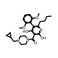 CCCCc1nc(O)c(C(=O)N2CCN(CC3CC3)CC2)c(O)c1-c1c(OC)cccc1OC